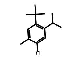 Cc1cc(C(C)(C)C)c(C(C)C)cc1Cl